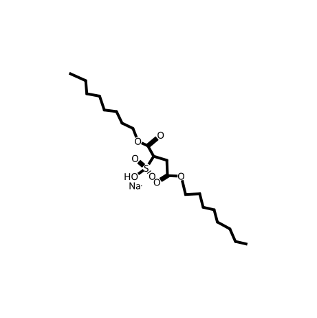 CCCCCCCCOC(=O)CC(C(=O)OCCCCCCCC)S(=O)(=O)O.[Na]